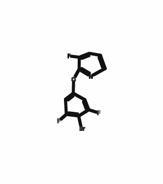 Fc1cccnc1Oc1cc(F)c(Br)c(F)c1